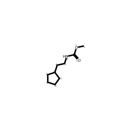 COC(=O)NCCC1CCCC1